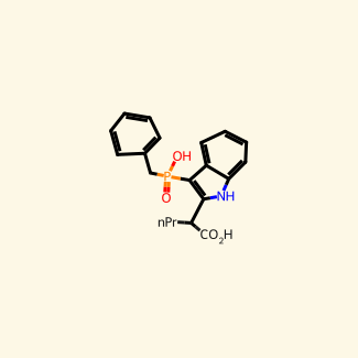 CCCC(C(=O)O)c1[nH]c2ccccc2c1P(=O)(O)Cc1ccccc1